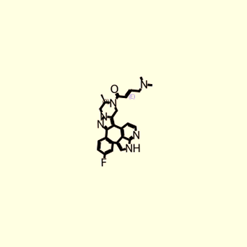 Cc1c[nH]c2nccc(-c3c(-c4ccc(F)cc4)nn4c3CN(C(=O)/C=C/CN(C)C)[C@H](C)C4)c12